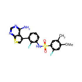 COc1cc(F)c(S(=O)(=O)Nc2cccc(-c3csc4ncnc(N)c34)c2F)cc1C